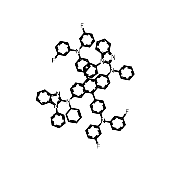 Fc1cccc(N(c2ccc(-c3c4ccc(N(c5nc6ccccc6n5-c5ccccc5)C5C=CC=CC5)cc4c(-c4ccc(N(c5cccc(F)c5)c5cccc(F)c5)cc4)c4ccc(N(c5ccccc5)c5nc6ccccc6n5-c5ccccc5)cc34)cc2)c2cccc(F)c2)c1